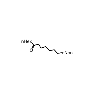 CCCCCCCCCCCCCCCC(=O)CCCCCC